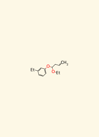 C=CCC(OCC)Oc1cccc(CC)c1